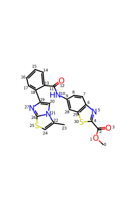 COC(=O)c1nc2ccc(NC(=O)c3ccccc3-c3cn4c(C)csc4n3)cc2s1